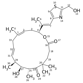 C/C1=C/C[C@@H](/C(C)=C/c2csc(CO)n2)OC(=O)CCC(C)(C)C(=O)[C@H](C)[C@@H](O)[C@@H](C)/C=C/C1